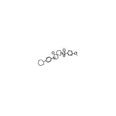 COc1ccc(S(=O)(=O)N2CCCC3(CCN(c4ccc(C5CCCCC5)cc4)C3=O)C2)cc1